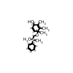 CC1=C(C)C(C)(OC[Si](C)(C)c2ccccc2)C=CC1O